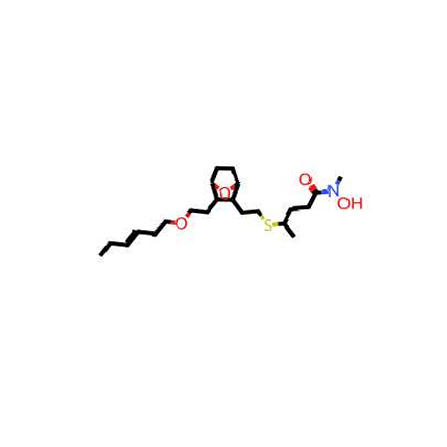 CCC=CCCOCCC1C2CCC(O2)C1CCSC(C)CCC(=O)N(C)O